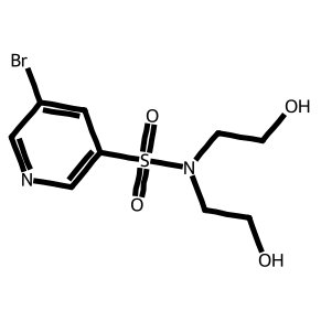 O=S(=O)(c1cncc(Br)c1)N(CCO)CCO